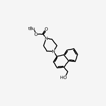 CC(C)(C)OC(=O)N1CCN(c2ccc(CO)c3ccccc23)CC1